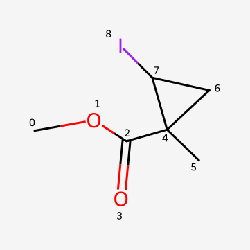 COC(=O)C1(C)CC1I